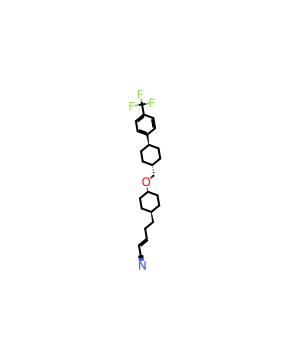 N#CC=CCC[C@H]1CC[C@H](OC[C@H]2CC[C@H](c3ccc(C(F)(F)F)cc3)CC2)CC1